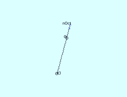 CCCCCCCC/C=C/C/C=C/CCCCCCC(=O)OCCCCCCCCCCCCCCCCCCCCCCCCCCCCCC(=O)Cl